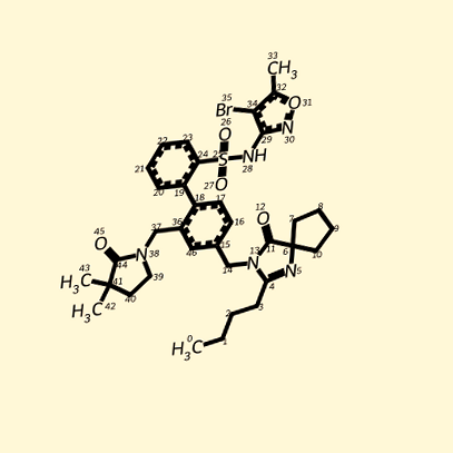 CCCCC1=NC2(CCCC2)C(=O)N1Cc1ccc(-c2ccccc2S(=O)(=O)Nc2noc(C)c2Br)c(CN2CCC(C)(C)C2=O)c1